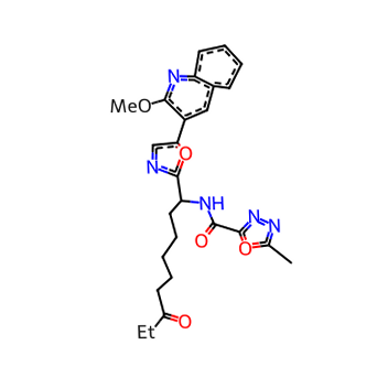 CCC(=O)CCCCCC(NC(=O)c1nnc(C)o1)c1ncc(-c2cc3ccccc3nc2OC)o1